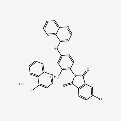 Cc1cc(Nc2ccnc3ccccc23)ccc1N1C(=O)c2ccc(Cl)cc2C1=O.Cl.Clc1ccnc2ccccc12